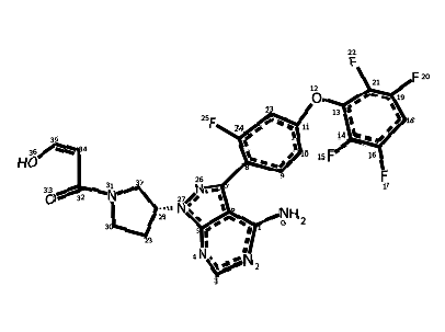 Nc1ncnc2c1c(-c1ccc(Oc3c(F)c(F)cc(F)c3F)cc1F)nn2[C@@H]1CCN(C(=O)/C=C\O)C1